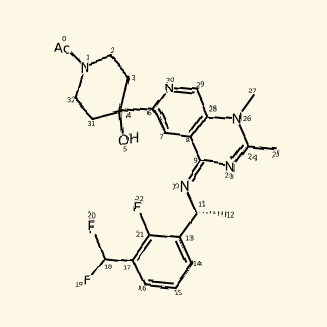 CC(=O)N1CCC(O)(c2cc3/c(=N/[C@H](C)c4cccc(C(F)F)c4F)nc(C)n(C)c3cn2)CC1